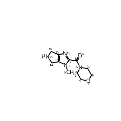 Cn1c(C(=O)N2CCOCC2)nc2c1CNC2